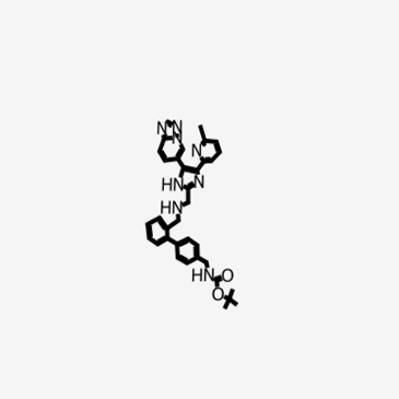 Cc1cccc(-c2nc(CNCc3ccccc3-c3ccc(CNC(=O)OC(C)(C)C)cc3)[nH]c2-c2ccc3ncnn3c2)n1